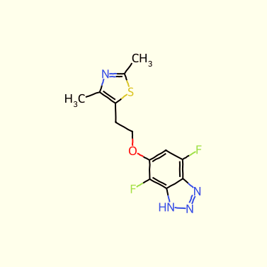 Cc1nc(C)c(CCOc2cc(F)c3nn[nH]c3c2F)s1